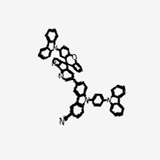 N#Cc1ccc2c(c1)c1cc(-c3cnc4c(c3)C3(c5ccccc5Oc5ccc(-n6c7ccccc7c7ccccc76)cc53)c3cccnc3-4)ccc1n2-c1ccc(-n2c3ccccc3c3ccccc32)cc1